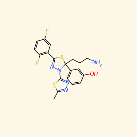 Cc1nnc(N2N=C(c3cc(F)ccc3F)SC2(CCCN)c2cccc(O)c2)s1